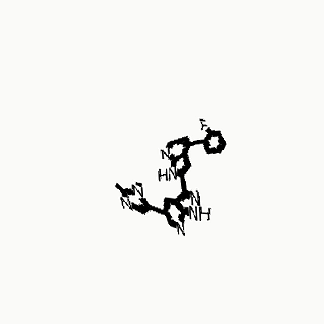 Cc1ncc(-c2cnc3[nH]nc(-c4cc5c(-c6ccccc6F)ccnc5[nH]4)c3c2)n1C